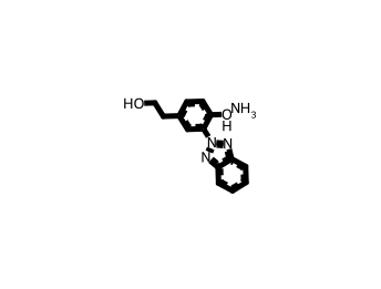 N.OCCc1ccc(O)c(-n2nc3ccccc3n2)c1